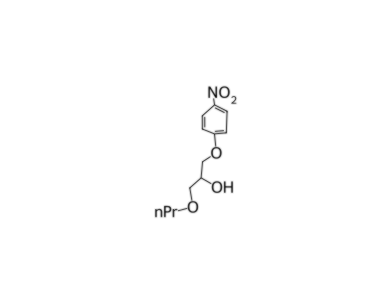 CCCOCC(O)COc1ccc([N+](=O)[O-])cc1